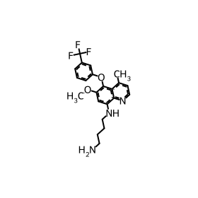 COc1cc(NCCCCN)c2nccc(C)c2c1Oc1cccc(C(F)(F)F)c1